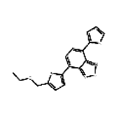 CCOCc1ccc(-c2ccc(-c3cccs3)c3nsnc23)s1